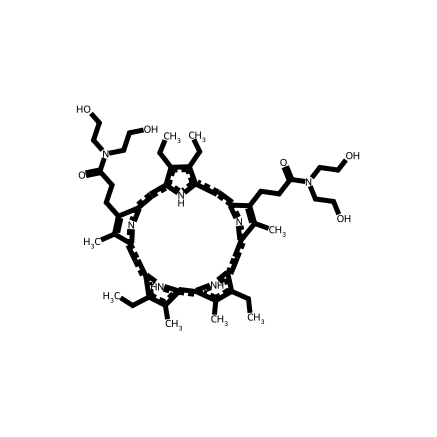 CCc1c(CC)c2cc3nc(cc4[nH]c(c(C)c4CC)c4[nH]c(cc5nc(cc1[nH]2)C(CCC(=O)N(CCO)CCO)=C5C)c(CC)c4C)C(C)=C3CCC(=O)N(CCO)CCO